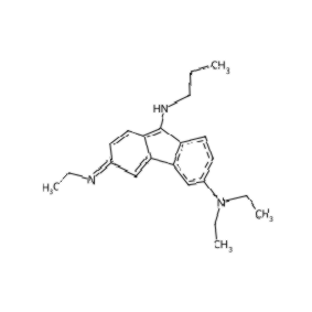 CCCNC1=C2C=CC(=NCC)C=C2c2cc(N(CC)CC)ccc21